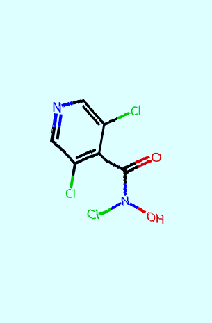 O=C(c1c(Cl)cncc1Cl)N(O)Cl